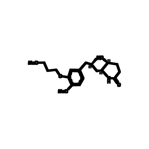 COCCCOc1cc(C[C@H](C[C@@H]2NC(=O)CC[C@@H]2O)C(C)C)ccc1OC